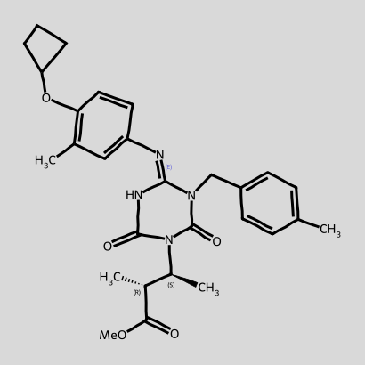 COC(=O)[C@H](C)[C@H](C)n1c(=O)[nH]/c(=N\c2ccc(OC3CCC3)c(C)c2)n(Cc2ccc(C)cc2)c1=O